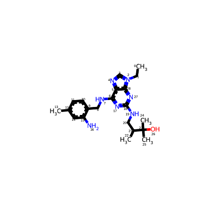 CCn1cnc2c(NCc3ccc(C)cc3N)nc(NCC(C)C(C)(C)O)nc21